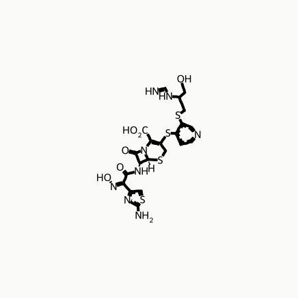 N=CNC(CO)CSc1cnccc1SC1=C(C(=O)O)N2C(=O)[C@@H](NC(=O)/C(=N\O)c3csc(N)n3)[C@@H]2SC1